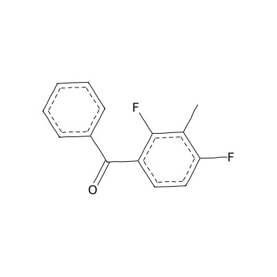 Cc1c(F)ccc(C(=O)c2ccccc2)c1F